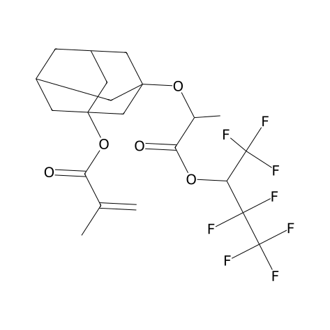 C=C(C)C(=O)OC12CC3CC(C1)CC(OC(C)C(=O)OC(C(F)(F)F)C(F)(F)C(F)(F)F)(C3)C2